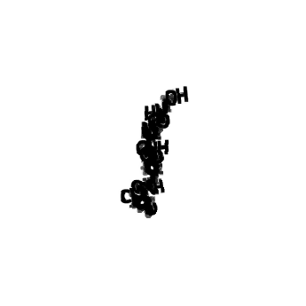 COc1ccc(Cl)c(C(=O)NCCc2ccc(S(=O)(=O)NC(=O)c3ccc(OC(=O)NCCO)nc3)cc2)c1